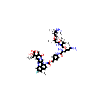 CC[C@@]1(O)C(=O)OCc2c1cc1n(c2=O)Cc2c-1nc1cc(F)c(C)c3c1c2[C@@H](NC(=O)OCc1ccc(NC(=O)[C@H](CCCCN)NC(=O)C(NC(=O)CC(C)(C)OCCC(C)(C)N)C(C)C)cc1)CC3